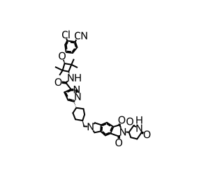 CC1(C)[C@H](NC(=O)c2ccc([C@H]3CC[C@H](CN4Cc5cc6c(cc5C4)C(=O)N(C4CCC(=O)NC4=O)C6=O)CC3)nn2)C(C)(C)[C@H]1Oc1ccc(C#N)c(Cl)c1